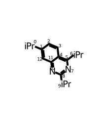 CC(C)c1ccc2c(C(C)C)nc(C(C)C)nc2c1